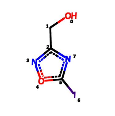 OCc1noc(I)n1